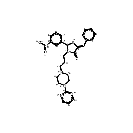 O=C1C(=Cc2ccccc2)SC(c2cccc([N+](=O)[O-])c2)N1CCCN1CCN(c2ncccn2)CC1